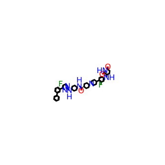 O=C1CCC(Nc2ccc(C3CCN([C@H]4CC[C@H](C(=O)NC5CCC(Nc6ncc(F)c(-c7cccc(-c8ccccc8)c7)n6)CC5)CC4)CC3)c(F)c2)C(=O)N1